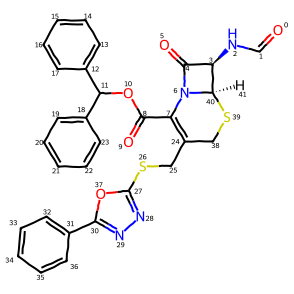 O=CN[C@@H]1C(=O)N2C(C(=O)OC(c3ccccc3)c3ccccc3)=C(CSc3nnc(-c4ccccc4)o3)CS[C@H]12